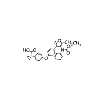 CCOC(=O)N(c1ccccc1)c1c(-c2ccc(Oc3ccc(C4(C(=O)O)CC4)cc3)cc2)noc1C